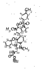 Cc1ccc(S(=O)(=O)n2ccc3c(-c4ccc5c(nc(CNC(=O)OC(C)(C)C)n5C)c4Oc4ccccc4)cn(C)c(=O)c32)cc1